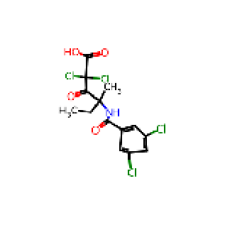 CCC(C)(NC(=O)c1cc(Cl)cc(Cl)c1)C(=O)C(Cl)(Cl)C(=O)O